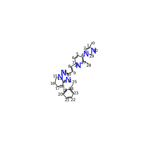 Cc1cn(-c2ccc(/C=C/c3nc4n(n3)CCC[C@H]4c3ccccc3C)nc2C)cn1